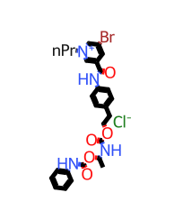 CCC[n+]1cc(Br)cc(C(=O)Nc2ccc(CCOC(=O)NC(C)OC(=O)Nc3ccccc3)cc2)c1.[Cl-]